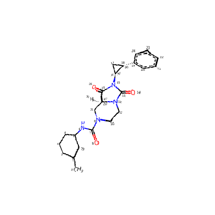 CC1CCCC(NC(=O)N2CCN3C(=O)N([C@H]4C[C@@H]4c4ccccc4)C(=O)[C@@H]3C2)C1